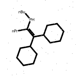 CCCCPC(CCC)=C(C1CCCCC1)C1CCCCC1